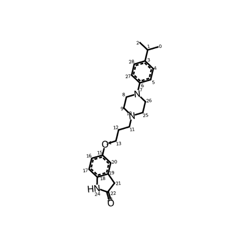 CC(C)c1ccc(N2CCN(CCCOc3ccc4c(c3)CC(=O)N4)CC2)cc1